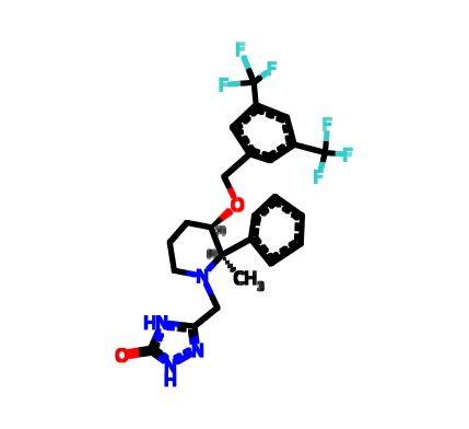 C[C@@]1(c2ccccc2)[C@H](OCc2cc(C(F)(F)F)cc(C(F)(F)F)c2)CCCN1Cc1n[nH]c(=O)[nH]1